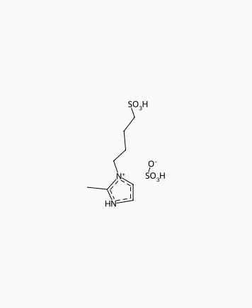 Cc1[nH]cc[n+]1CCCCS(=O)(=O)O.O=S(=O)([O-])O